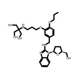 CCCOc1ccc(CNc2nc3ccccc3n2[C@H]2CC[C@@H](CO)O2)cc1OCCCNC(CO)(CO)CO